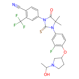 CC(O)N1CCC(Oc2ccc(N3C(=S)N(c4ccc(C#N)c(C(F)(F)F)c4)C(=O)C3(C)C)cc2F)C1